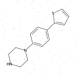 c1csc(-c2ccc(N3CCNCC3)cc2)c1